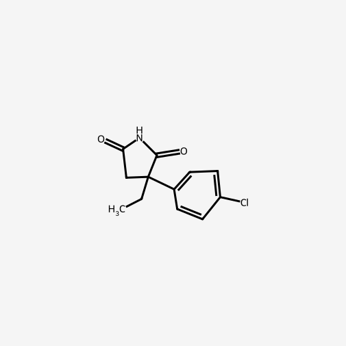 CCC1(c2ccc(Cl)cc2)CC(=O)NC1=O